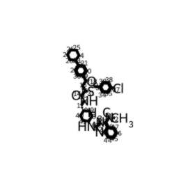 CN(C)c1nc(N[C@H]2CC[C@@H](CNC(=O)C(CC(=O)c3ccc(C4CCCCC4)cc3)SCc3ccc(Cl)cc3)CC2)nc2ccccc12